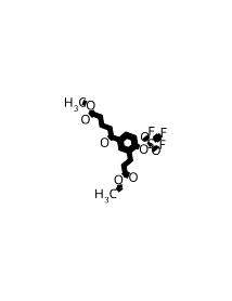 CCOC(=O)CCc1cc(C(=O)CCCC(=O)OC)ccc1OS(=O)(=O)C(F)(F)F